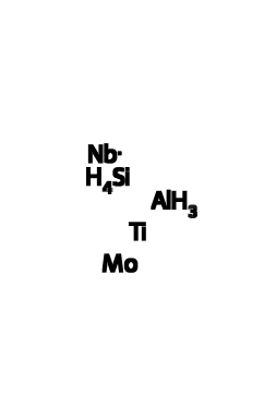 [AlH3].[Mo].[Nb].[SiH4].[Ti]